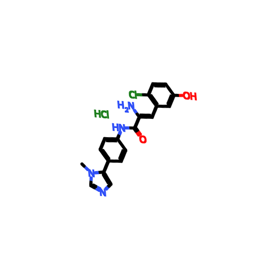 Cl.Cn1cncc1-c1ccc(NC(=O)C(N)=Cc2cc(O)ccc2Cl)cc1